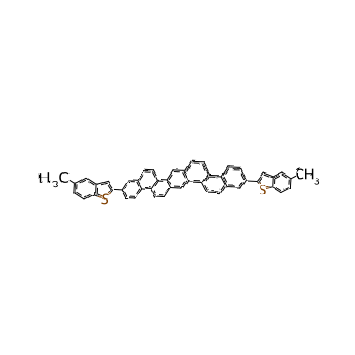 Cc1ccc2sc(-c3ccc4c(ccc5c6cc7ccc8c9ccc(-c%10cc%11cc(C)ccc%11s%10)cc9ccc8c7cc6ccc45)c3)cc2c1